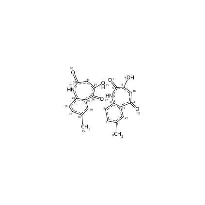 Cc1ccc2[nH]c(=O)c(O)cc(=O)c2c1.Cc1ccc2[nH]c(=O)cc(O)c(=O)c2c1